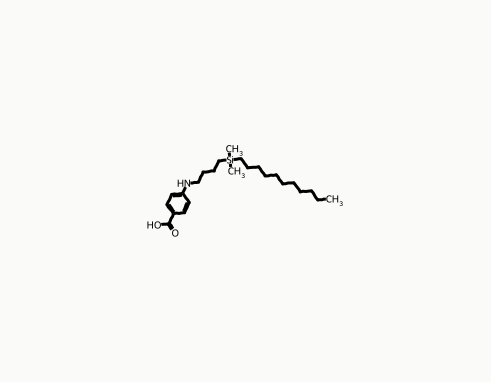 CCCCCCCCCCC[Si](C)(C)CCCCNc1ccc(C(=O)O)cc1